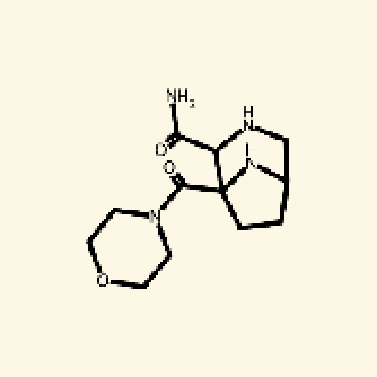 NC(=O)C1NCC2CCC1(C(=O)N1CCOCC1)N2